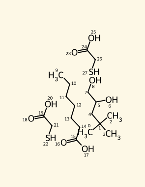 CC(C)(C)CC(O)CO.CCCCCCC(=O)O.O=C(O)CS.O=C(O)CS